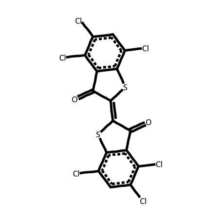 O=C1/C(=C2\Sc3c(Cl)cc(Cl)c(Cl)c3C2=O)Sc2c(Cl)cc(Cl)c(Cl)c21